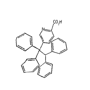 O=C(O)c1ccc(C(c2ccccc2)(c2ccccc2)C(c2ccccc2)c2ccccc2)cn1